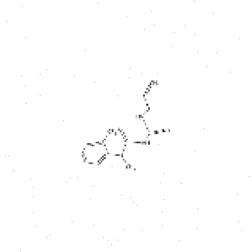 C=CCNC(=N)NC(=O)C(C)c1ccccc1C(F)(F)F